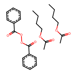 CCCCOC(C)=O.CCCCOC(C)=O.O=C(OOC(=O)c1ccccc1)c1ccccc1